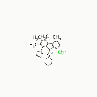 Cc1cccc2c1-c1c(C)c(C)c(C)c(C3=CC=CC3)c1[CH]2[Zr+2]=[C]1CCCCC1.[Cl-].[Cl-]